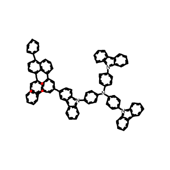 c1ccc(-c2cc(-c3ccc4c(c3)c3ccccc3n4-c3ccc(N(c4ccc(-n5c6ccccc6c6ccccc65)cc4)c4ccc(-n5c6ccccc6c6ccccc65)cc4)cc3)cc(-c3cccc4c(-c5ccccc5)ccc(-c5ccccc5)c34)c2)cc1